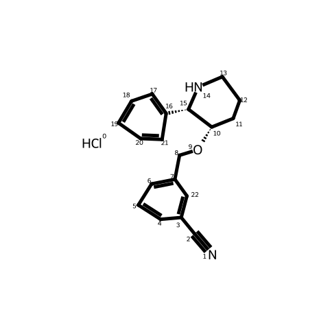 Cl.N#Cc1cccc(CO[C@H]2CCCN[C@H]2c2ccccc2)c1